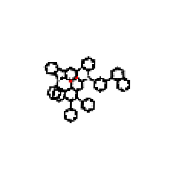 c1ccc(-c2c(-c3ccccc3)c3cc(N(c4cccc(-c5cccc6ccccc56)c4)c4ccccc4-c4ccc5c(c4)c4ccccc4n5-c4ccccc4)ccc3c3ccccc23)cc1